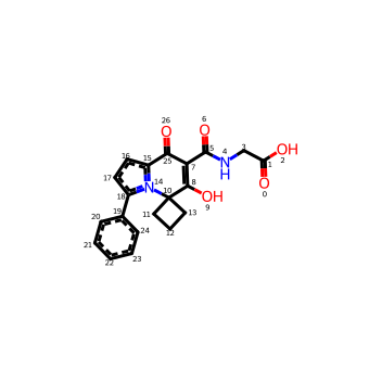 O=C(O)CNC(=O)C1=C(O)C2(CCC2)n2c(ccc2-c2ccccc2)C1=O